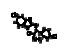 NC(=O)C(Sc1nc2cc(Cl)ccc2s1)c1ccc(Cl)cc1